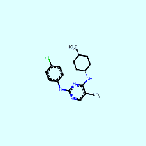 O=C(O)[C@H]1CC[C@H](Nc2nc(Nc3ccc(Cl)cc3)ncc2[N+](=O)[O-])CC1